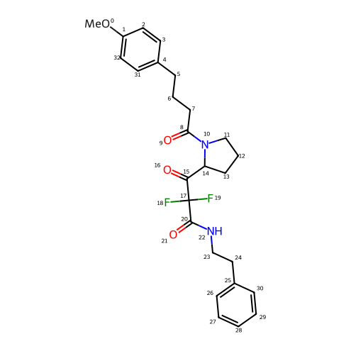 COc1ccc(CCCC(=O)N2CCCC2C(=O)C(F)(F)C(=O)NCCc2ccccc2)cc1